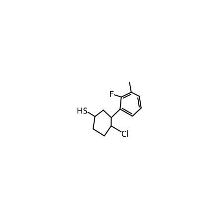 Cc1cccc(C2CC(S)CCC2Cl)c1F